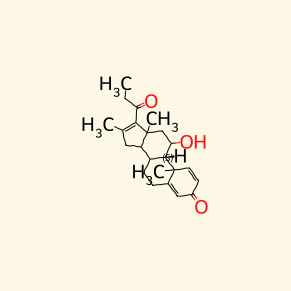 CCC(=O)C1=C(C)CC2C3CCC4=CC(=O)C=CC4(C)[C@H]3C(O)CC12C